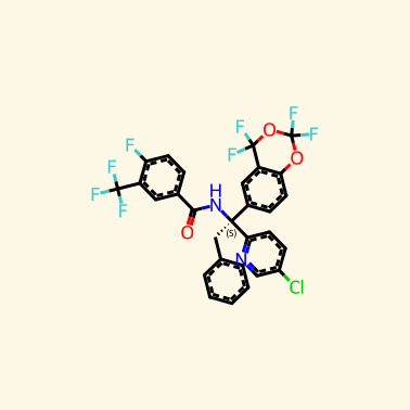 O=C(N[C@@](Cc1ccccc1)(c1ccc2c(c1)C(F)(F)OC(F)(F)O2)c1ccc(Cl)cn1)c1ccc(F)c(C(F)(F)F)c1